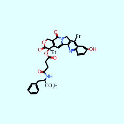 CCc1c2c(nc3ccc(O)cc13)-c1cc3c(c(=O)n1C2)COC(=O)[C@@]3(CC)OC(=O)CCC(=O)N[C@H](Cc1ccccc1)C(=O)O